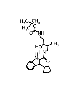 C[C@@H](CNC(=O)c1[nH]c2ccccc2c1C1CCCC1)C(O)CCNC(=O)OC(C)(C)C